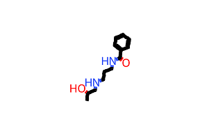 CC(O)CNCCCNC(=O)c1ccccc1